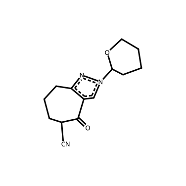 N#CC1CCCc2nn(C3CCCCO3)cc2C1=O